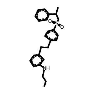 CCCNc1cccc(CCc2ccc(S(=O)(=O)CC(C)c3ccccc3)cc2)c1